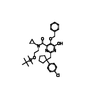 CC(C)(C)[Si](C)(C)OCCN(C(=O)c1nc(CC2(c3ccc(Cl)cc3)CCCC2)nc(O)c1OCc1ccccc1)C1CC1